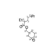 CCC(CCC(C)C)C(=O)OCC1CCC2OC2C1